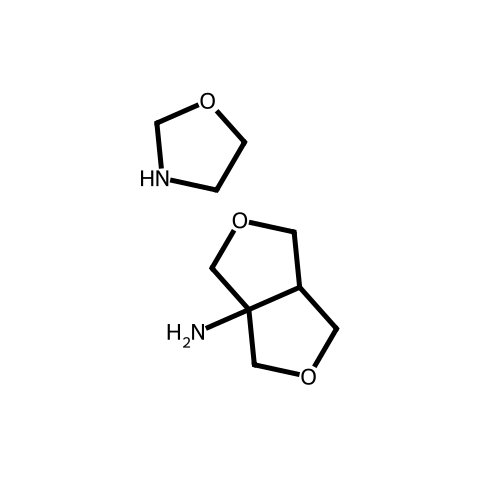 C1COCN1.NC12COCC1COC2